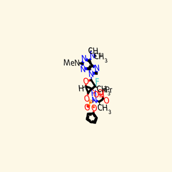 CNc1nc(N(C)C)c2ncn([C@@H]3O[C@@H]4C(OP(=O)(N[C@@H](C)C(=O)OC(C)C)Oc5ccccc5)[C@]4(O)[C@@]3(C)F)c2n1